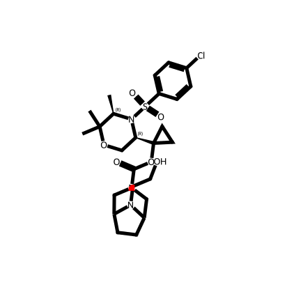 C[C@H]1N(S(=O)(=O)c2ccc(Cl)cc2)[C@@H](C2(OC(=O)N3CC4CCC(C3)N4CCO)CC2)COC1(C)C